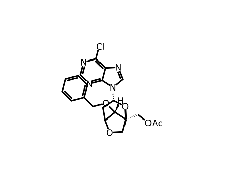 CC(=O)OC[C@@]12COC(C[C@H](n3cnc4c(Cl)ncnc43)O1)[C@@H]2OCc1ccccc1